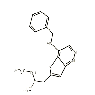 C[C@@H](Cc1cc2nncc(NCc3ccccc3)c2s1)NC(=O)O